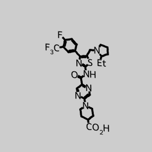 CCC1CCCN1Cc1sc(NC(=O)c2cnc(N3CCC(C(=O)O)CC3)cn2)nc1-c1ccc(F)c(C(F)(F)F)c1